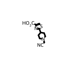 N#CCN1CCC(c2nc(C(=O)O)cs2)CC1